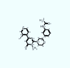 CC(=O)Nc1cccc([C@H]2CN(c3nc(-c4ccncc4F)cc(=O)n3C)CCO2)c1